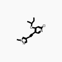 CCC(C)Oc1cc(Cl)ncc1C#Cc1cnn(C)c1